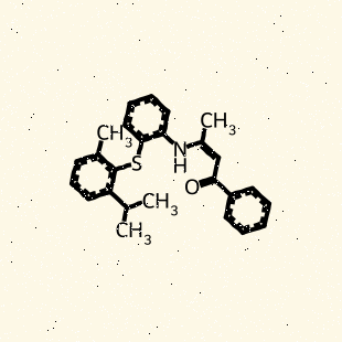 C/C(=C/C(=O)c1ccccc1)Nc1ccccc1Sc1c(C)cccc1C(C)C